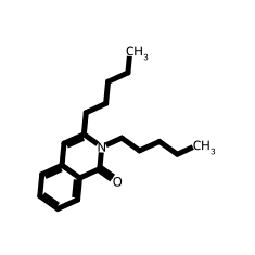 CCCCCc1cc2ccccc2c(=O)n1CCCCC